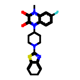 Cn1c(=O)c(=O)n(C2CCN(c3nc4c(s3)=CCCC=4)CC2)c2ccc(F)cc21